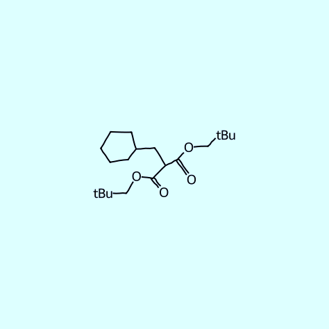 CC(C)(C)COC(=O)C(CC1CCCCC1)C(=O)OCC(C)(C)C